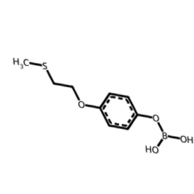 CSCCOc1ccc(OB(O)O)cc1